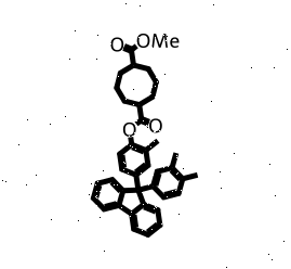 COC(=O)C1CCCC(C(=O)Oc2ccc(C3(c4ccc(C)c(C)c4)c4ccccc4-c4ccccc43)cc2C)CCC1